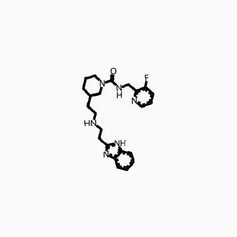 O=C(NCc1ncccc1F)N1CCCC(CCNCCc2nc3ccccc3[nH]2)C1